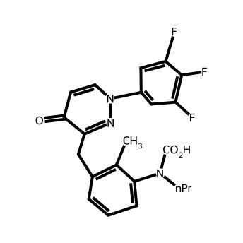 CCCN(C(=O)O)c1cccc(Cc2nn(-c3cc(F)c(F)c(F)c3)ccc2=O)c1C